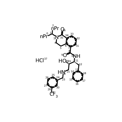 CCCC(CCC)N1CCc2c(C(=O)N[C@@H](Cc3ccccc3)[C@H](O)CNCc3cccc(C(F)(F)F)c3)cccc2C1=O.Cl